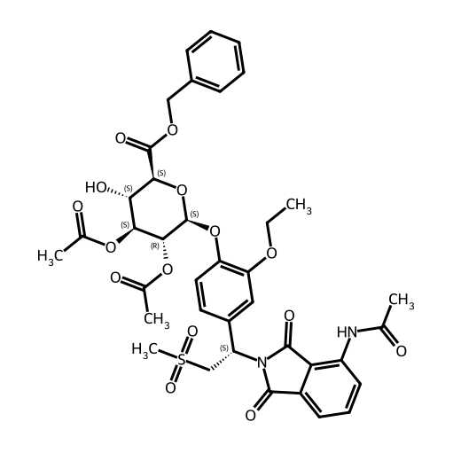 CCOc1cc([C@@H](CS(C)(=O)=O)N2C(=O)c3cccc(NC(C)=O)c3C2=O)ccc1O[C@@H]1O[C@H](C(=O)OCc2ccccc2)[C@@H](O)[C@H](OC(C)=O)[C@H]1OC(C)=O